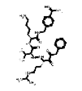 CC(C)[C@H](NN[C@@H](CCCNC(N)N)C(=O)C(=O)Cc1ccccc1)C(=O)N[C@@H](CCCCN)C(=O)NCc1ccc(C(=N)N)cc1